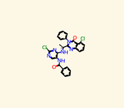 C[C@H](Nc1nc(Cl)ncc1NC(=O)c1ccccc1)c1nc2cccc(Cl)c2c(=O)n1-c1ccccc1